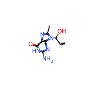 C=CC(O)n1c(C)nc2c(=O)[nH]c(N)nc21